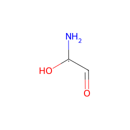 N[C](O)C=O